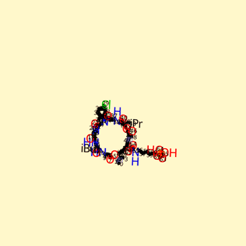 C/C=C(\C)[C@H]1OC(=O)[C@@H](C)NC(=O)[C@H](C(C)CC)NC(=O)CN(C)C(=O)[C@@H](Cc2ccc(Cl)cc2)N(C)C(=O)[C@H](C)NC(=O)[C@@H](CC(C)C)OC(=O)/C(C)=C/C[C@H](OC(=O)NCCCCCOP(=O)(O)O)[C@@H]1C